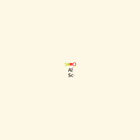 O=S.[Al].[Sc]